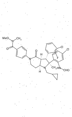 CON(C)C(=O)c1ccc(N2CC[C@H]3[C@@H](C2=O)[C@H](c2cccc(Cl)c2F)[C@@](C)(c2ccc(Cl)cc2NC=O)N3CC2CC2)cc1